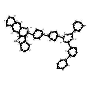 c1ccc(-c2cccc(-c3nc(-c4ccccc4)nc(-c4ccc(-c5ccc(-c6nc7cc8ccccc8cc7c7oc8ccccc8c67)cc5)cc4)n3)c2)cc1